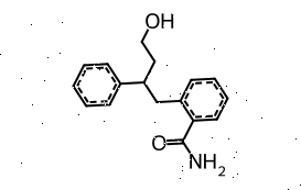 NC(=O)c1ccccc1CC(CCO)c1ccccc1